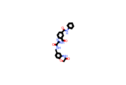 O=C1COc2ccc(CNC(=O)c3nc4ccc(C(=O)Nc5ccccc5)cc4c(=O)[nH]3)cc2N1